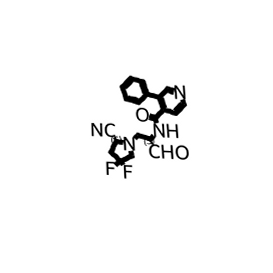 N#C[C@@H]1CC(F)(F)CN1C[C@@H](C=O)NC(=O)c1ccncc1-c1ccccc1